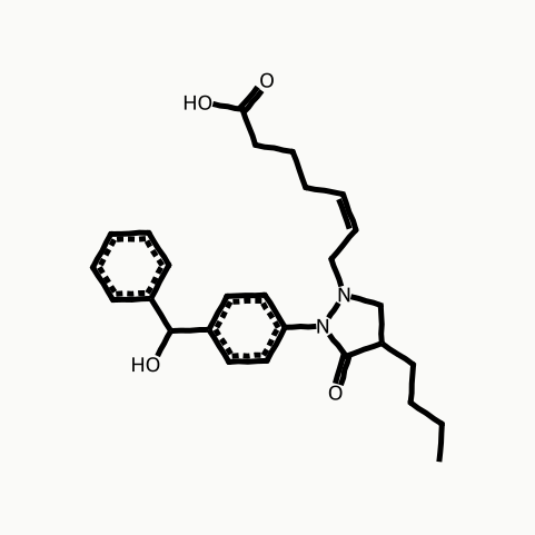 CCCCC1CN(C/C=C\CCCC(=O)O)N(c2ccc(C(O)c3ccccc3)cc2)C1=O